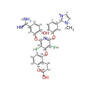 Cn1ccnc1-c1cccc(Oc2nc(Oc3cc(C(=N)N)ccc3O)c(F)c(Oc3ccccc3CCC(=O)O)c2F)c1